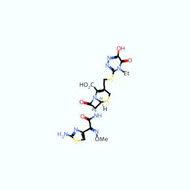 CCn1c(SCC2=C(C(=O)O)N3C(=O)[C@@H](NC(=O)C(=NOC)c4csc(N)n4)[C@@H]3SC2)nnc(O)c1=O